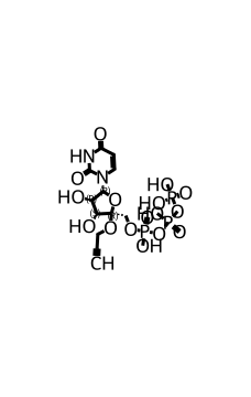 C#CCO[C@]1(COP(=O)(O)OP(=O)(O)OP(=O)(O)O)O[C@@H](n2ccc(=O)[nH]c2=O)[C@H](O)[C@@H]1O